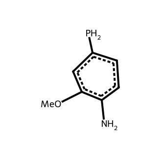 COc1cc(P)ccc1N